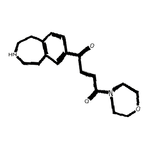 O=C(CCC(=O)N1CCOCC1)c1ccc2c(c1)CCNCC2